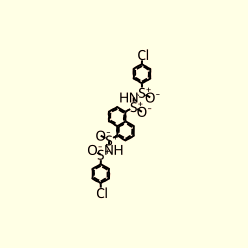 [O-][S+](N[S+]([O-])c1cccc2c([S+]([O-])N[S+]([O-])c3ccc(Cl)cc3)cccc12)c1ccc(Cl)cc1